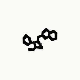 S=CC1NN=C(Cc2ccc3ccccc3c2)N1c1ccccc1